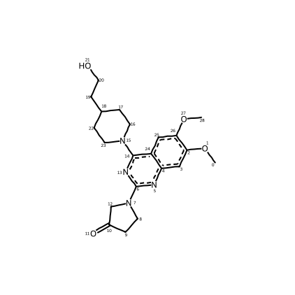 COc1cc2nc(N3CCC(=O)C3)nc(N3CCC(CCO)CC3)c2cc1OC